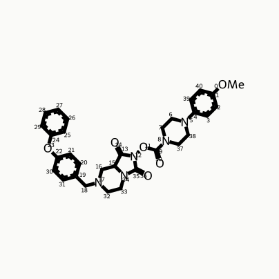 COc1ccc(N2CCN(C(=O)ON3C(=O)C4CN(Cc5ccc(Oc6ccccc6)cc5)CCN4C3=O)CC2)cc1